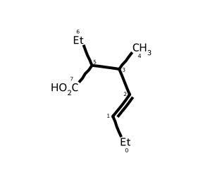 CCC=CC(C)C(CC)C(=O)O